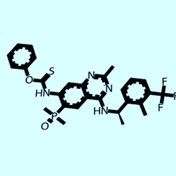 Cc1nc(N[C@H](C)c2cccc(C(F)(F)F)c2C)c2cc(P(C)(C)=O)c(NC(=S)Oc3ccccc3)cc2n1